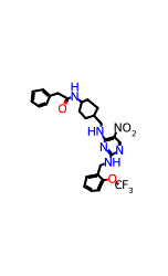 O=C(Cc1ccccc1)NC1CCC(CNc2nc(NCc3ccccc3OC(F)(F)F)ncc2[N+](=O)[O-])CC1